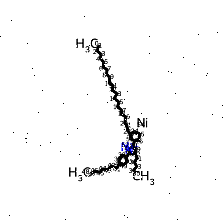 CCCCCCCCCCCCCCCCCCCCCCCc1cccc(C2=CC(CCCCC)=C(c3ccc(CCCCCCCC)cc3)[N+]2=[N-])c1.[Ni]